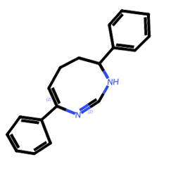 C1=N\C(c2ccccc2)=C/CCC(c2ccccc2)N/1